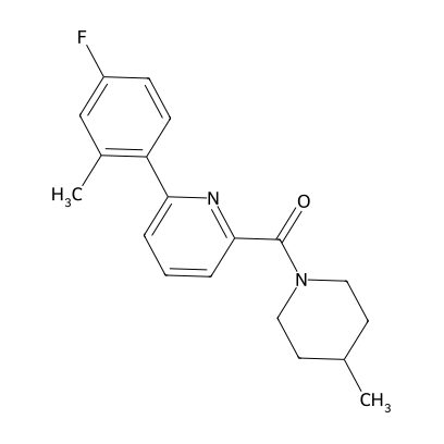 Cc1cc(F)ccc1-c1cccc(C(=O)N2CCC(C)CC2)n1